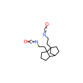 O=C=NCCC12CCC(C1)C1CCCC12CCN=C=O